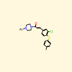 CC(=O)N1CCN(C(=O)C=Cc2ccc(Sc3ccc(C)cc3)c(Cl)c2)CC1